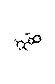 [O-]C(=S)CC(C([O-])=S)c1nc2ccccc2s1.[Zn+2]